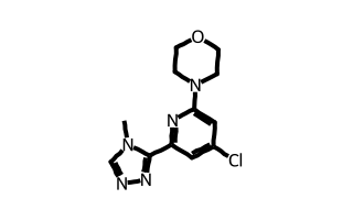 Cn1cnnc1-c1cc(Cl)cc(N2CCOCC2)n1